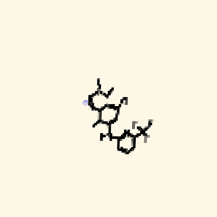 CCN(C)/C=N\c1cc(Cl)cc(Nc2cccc(C(F)(F)F)n2)c1C